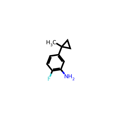 CC1(c2ccc(F)c(N)c2)CC1